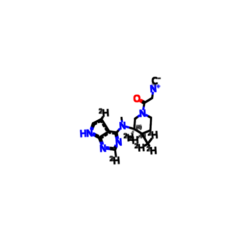 [2H]c1nc(N(C)[C@@]2([2H])CN(C(=O)C[N+]#[C-])CC[C@@]2([2H])C([2H])([2H])[2H])c2c([2H])c[nH]c2n1